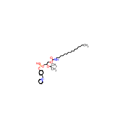 CCCCCCCCCCCCCCCCNC(=O)OCC(COP(O)Oc1ccc(C[n+]2ccccc2)cc1)OC(C)C